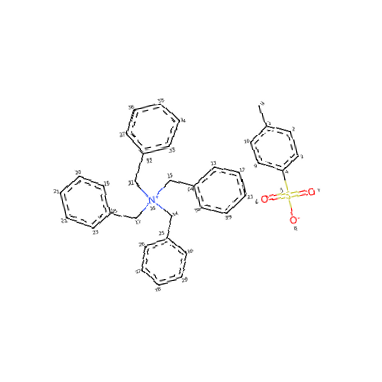 Cc1ccc(S(=O)(=O)[O-])cc1.c1ccc(C[N+](Cc2ccccc2)(Cc2ccccc2)Cc2ccccc2)cc1